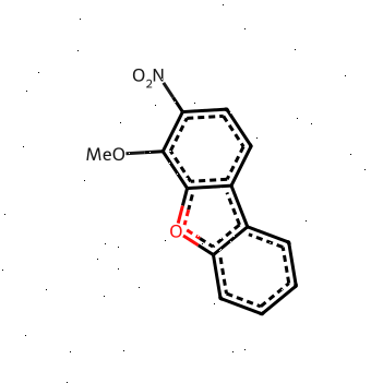 COc1c([N+](=O)[O-])ccc2c1oc1ccccc12